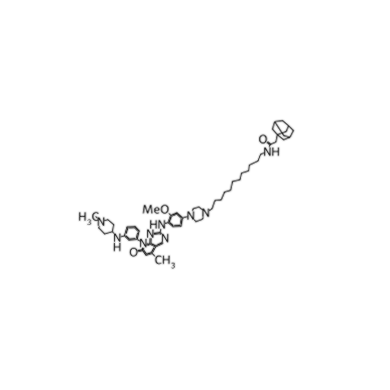 COc1cc(N2CCN(CCCCCCCCCCCCNC(=O)CC34CC5CC(CC(C5)C3)C4)CC2)ccc1Nc1ncc2c(C)cc(=O)n(-c3cccc(NC4CCN(C)CC4)c3)c2n1